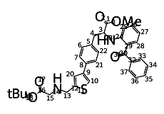 COC(=O)[C@H](Cc1ccc(-c2csc(CNCC(=O)OC(C)(C)C)c2)cc1)Nc1ccccc1C(=O)c1ccccc1